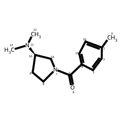 Cc1ccc(C(=O)N2CC[C@@H](N(C)C)C2)cc1